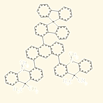 CN1c2ccccc2C(C)(C)c2cccc(-c3cccc4c(-c5cccc6c5-c5ccccc5C65c6ccccc6-c6ccccc65)c5cccc(-c6cccc7c6N(C)c6ccccc6C7(C)C)c5cc34)c21